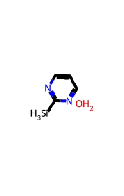 O.[SiH3]c1ncccn1